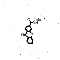 CCCCNC(=O)c1ccc2c(=O)c3ccccc3sc2c1